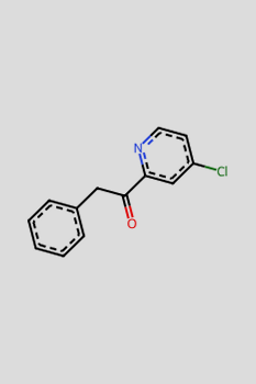 O=C(Cc1ccccc1)c1cc(Cl)ccn1